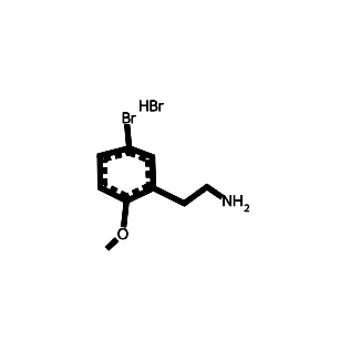 Br.COc1ccc(Br)cc1CCN